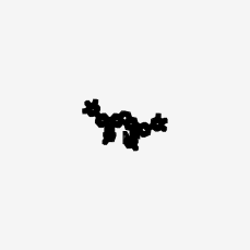 Cc1ccnc(-n2c3c(c4cc5c(cc42)-c2cc4c(cc2CC5)c2cc(-c5cc(C)c(C)c(C)c5)ccc2n4-n2ccc(C)c2)C=C(c2cc(C)c(C)c(C)c2)CC3)c1